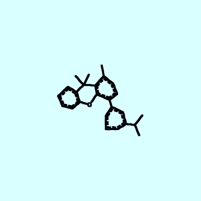 Cc1ccc(-c2cccc(C(C)C)c2)c2c1C(C)(C)c1ccccc1O2